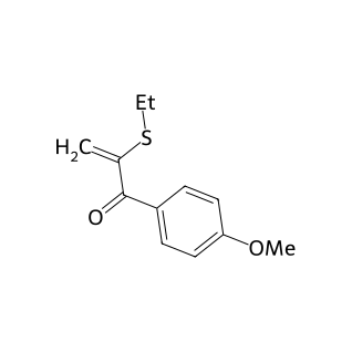 C=C(SCC)C(=O)c1ccc(OC)cc1